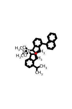 CC1=Cc2c(-c3cccc4ccccc34)cccc2[CH]1[Ti]([Cl])([Cl])([CH]1C(C)=Cc2c(C(C)C)cccc21)=[Si](C)C